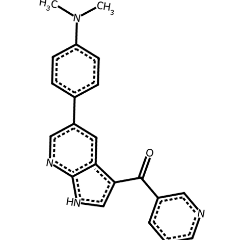 CN(C)c1ccc(-c2cnc3[nH]cc(C(=O)c4cccnc4)c3c2)cc1